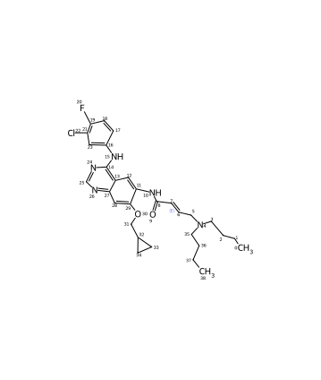 CCCCN(C/C=C/C(=O)Nc1cc2c(Nc3ccc(F)c(Cl)c3)ncnc2cc1OCC1CC1)CCCC